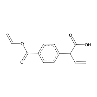 C=COC(=O)c1ccc(C(C=C)C(=O)O)cc1